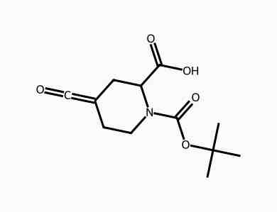 CC(C)(C)OC(=O)N1CCC(=C=O)CC1C(=O)O